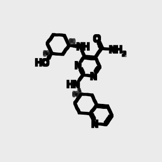 NC(=O)c1cnc(N[C@H]2CCc3ncccc3C2)nc1N[C@@H]1CCC[C@H](O)C1